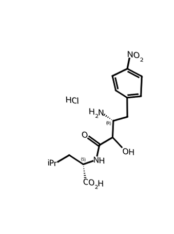 CC(C)C[C@H](NC(=O)C(O)[C@H](N)Cc1ccc([N+](=O)[O-])cc1)C(=O)O.Cl